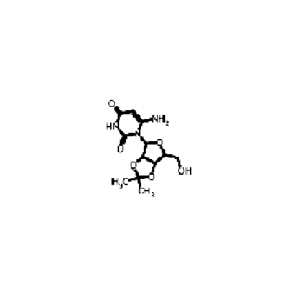 CC1(C)OC2C(CO)OC(n3c(N)cc(=O)[nH]c3=O)C2O1